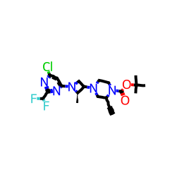 C#CC1CN(C2CN(c3cc(Cl)nc(C(F)F)n3)[C@@H]2C)CCN1C(=O)OC(C)(C)C